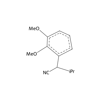 COc1cccc(C(C#N)C(C)C)c1OC